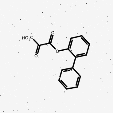 O=C(O)C(=O)C(=O)Oc1ccccc1-c1ccccc1